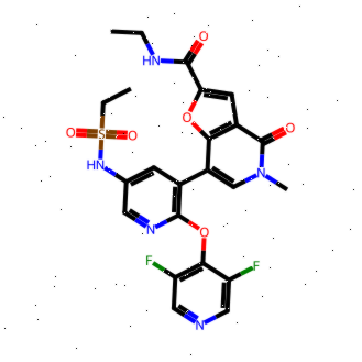 CCNC(=O)c1cc2c(=O)n(C)cc(-c3cc(NS(=O)(=O)CC)cnc3Oc3c(F)cncc3F)c2o1